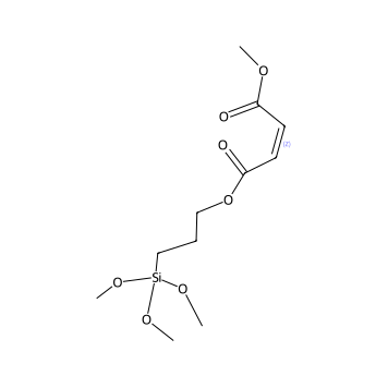 COC(=O)/C=C\C(=O)OCCC[Si](OC)(OC)OC